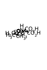 CC1(C)CC(C)(C)c2cc(NC(=O)C(C=CC(=O)O)=CC(=O)O)ccc2S1